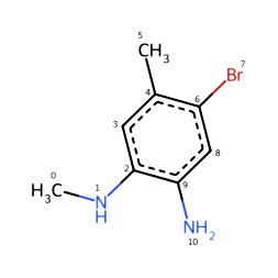 CNc1cc(C)c(Br)cc1N